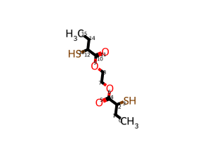 CCC(S)C(=O)OCCOC(=O)C(S)CC